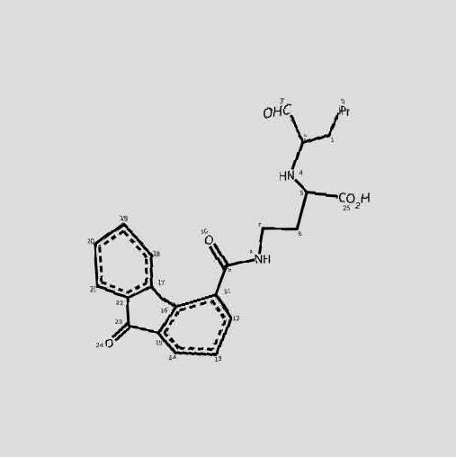 CC(C)CC(C=O)NC(CCNC(=O)c1cccc2c1-c1ccccc1C2=O)C(=O)O